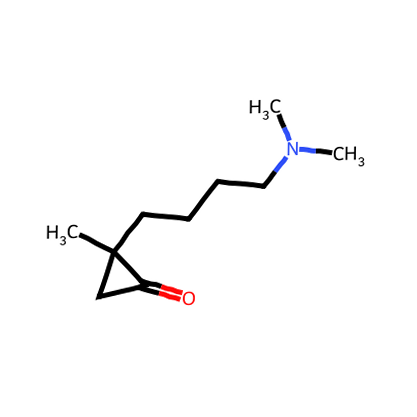 CN(C)CCCCC1(C)CC1=O